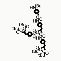 CC(C)(C)Nc1ccc(COC(=O)Nc2ccc(C=C(COC(=O)Nc3ccc(C=C(COC(=O)C(C)(C)C)COC(=O)C(C)(C)C)cc3)COC(=O)Nc3ccc(C=C(COC(=O)C(C)(C)C)COC(=O)C(C)(C)C)cc3)cc2)cc1